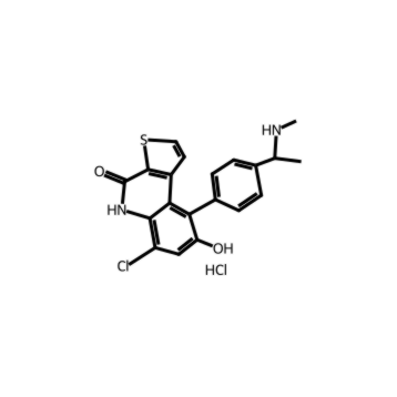 CNC(C)c1ccc(-c2c(O)cc(Cl)c3[nH]c(=O)c4sccc4c23)cc1.Cl